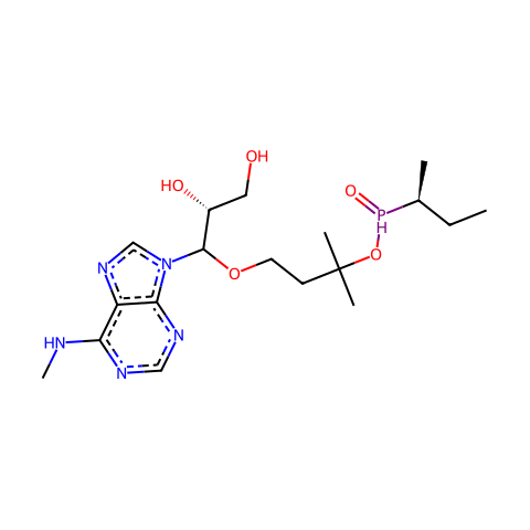 CC[C@H](C)[PH](=O)OC(C)(C)CCOC([C@H](O)CO)n1cnc2c(NC)ncnc21